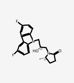 C[C@H]1CCC(=O)N1C[C@H](O)Cn1c2ccc(F)cc2c2cc(F)ccc21